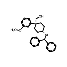 COc1cccc([C@]2(CO)CC[C@@H](NC(c3ccccc3)c3ccccc3)CC2)c1